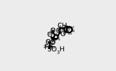 CC(OC(=O)C1C2CC3C(OC(=O)C31)C2OC(=O)C(F)(F)S(=O)(=O)O)C1CC2CCCC(C2)C1